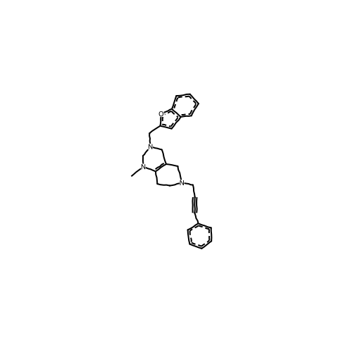 CN1CN(Cc2cc3ccccc3o2)CC2=C1CCN(CC#Cc1ccccc1)C2